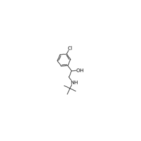 CC(C)(C)NCC(O)c1cccc(Cl)c1